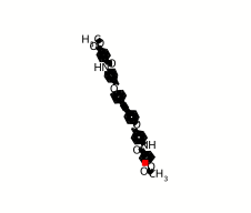 COC(=O)c1ccc(C(=O)Nc2ccc(COc3ccc(C#Cc4ccc(OCc5ccc(NC(=O)c6ccc(OC(C)=O)cc6)cc5)cc4)cc3)cc2)cc1